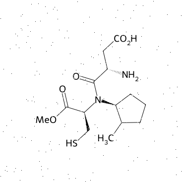 COC(=O)[C@H](CS)N(C(=O)[C@@H](N)CC(=O)O)[C@H]1CCCC1C